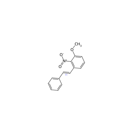 COc1cccc(/C=C/c2ccccc2)c1[N+](=O)[O-]